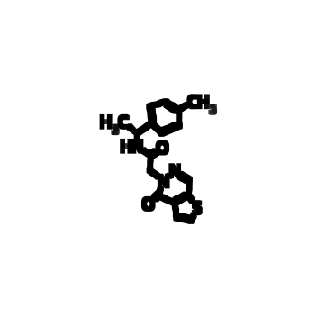 Cc1ccc([C@H](C)NC(=O)Cn2ncc3sccc3c2=O)cc1